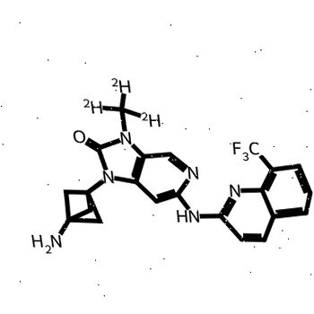 [2H]C([2H])([2H])n1c(=O)n(C23CC(N)(C2)C3)c2cc(Nc3ccc4cccc(C(F)(F)F)c4n3)ncc21